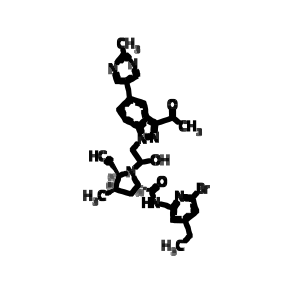 C#C[C@@H]1[C@H](C)C[C@@H](C(=O)Nc2cc(CC)cc(Br)n2)N1C(O)Cn1nc(C(C)=O)c2cc(-c3cnc(C)nc3)ccc21